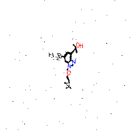 Bc1cc(C(C)(C)O)c2ncn(COCC[Si](C)(C)C)c2c1